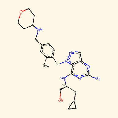 COc1cc(CNC2CCOCC2)ccc1Cn1ncc2nc(N)nc(N[C@H](CO)CC3CC3)c21